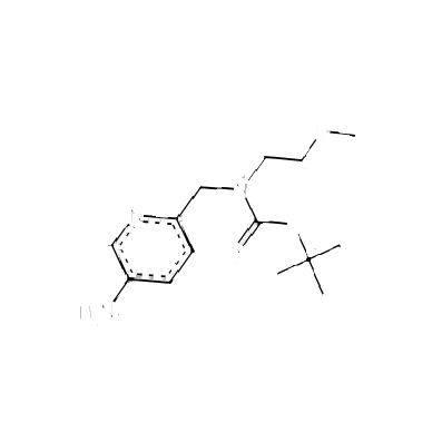 COCCN(Cc1ccc(N)cn1)C(=O)OC(C)(C)C